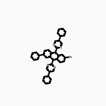 CC(C)c1ccc2c(-c3ncc(-c4ccccc4)cn3)c3cc(-c4ccccc4)ccc3c(-c3ncc(-c4ccccc4)cn3)c2c1